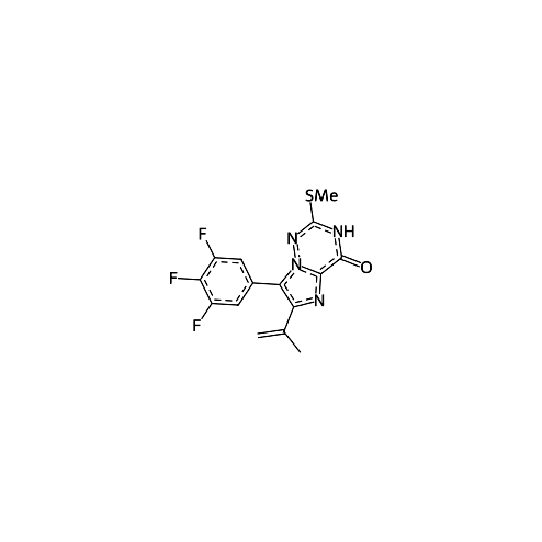 C=C(C)c1nc2c(=O)[nH]c(SC)nn2c1-c1cc(F)c(F)c(F)c1